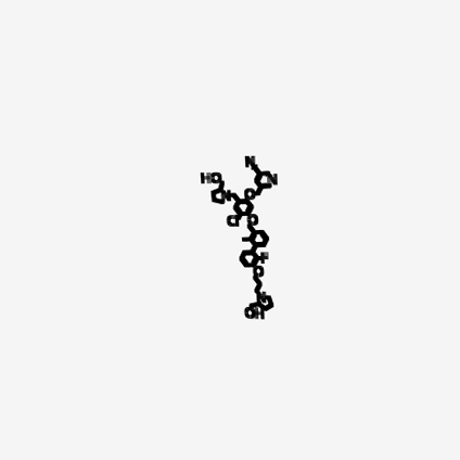 Cc1c(COc2cc(OCc3cncc(C#N)c3)c(CN3CCCC3CO)cc2Cl)cccc1-c1cccc(OCCCN2CCCC2CO)c1F